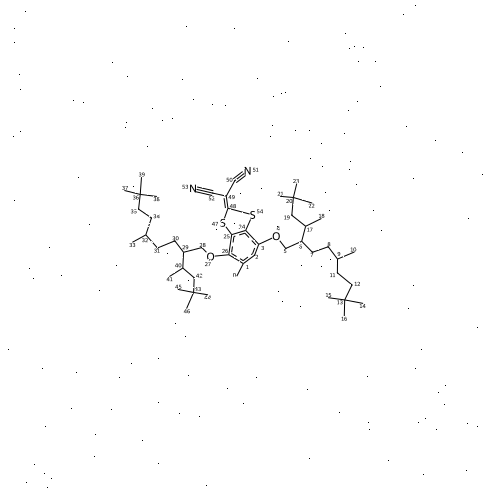 Cc1cc(OCC(CCC(C)CCC(C)(C)C)C(C)CC(C)(C)C)c2c(c1OCC(CCC(C)CCC(C)(C)C)C(C)CC(C)(C)C)SC(=C(C#N)C#N)S2